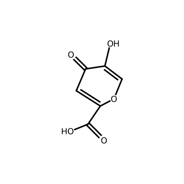 O=C(O)c1cc(=O)c(O)co1